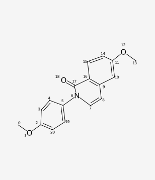 COc1ccc(-n2ccc3cc(OC)c[c]c3c2=O)cc1